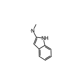 C[N]c1cc2ccccc2[nH]1